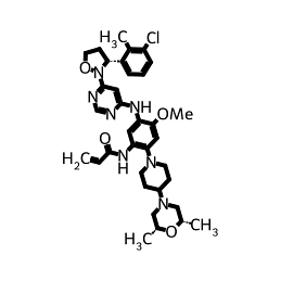 C=CC(=O)Nc1cc(Nc2cc(N3OCC[C@@H]3c3cccc(Cl)c3C)ncn2)c(OC)cc1N1CCC(N2C[C@@H](C)O[C@@H](C)C2)CC1